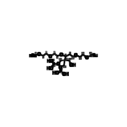 CCCCOCCOCCOC(CCOCCOCCCC)C(CO)(COP(O)O)COP(O)O